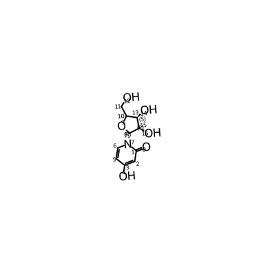 O=c1cc(O)ccn1[C@@H]1OC(CO)[C@@H](O)[C@H]1O